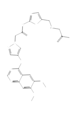 C=C(C)CNCc1cnc(NC(=O)Cn2cc(Oc3ncnc4cc(OC)c(OC)cc34)cn2)s1